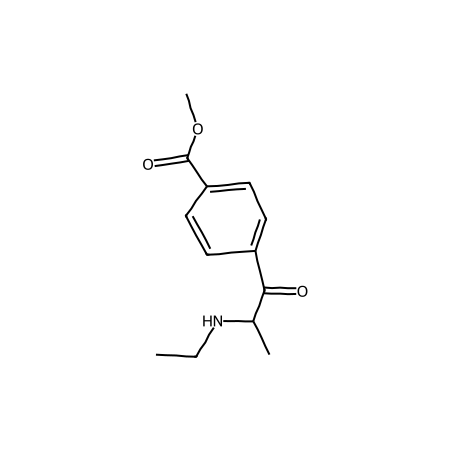 CCNC(C)C(=O)c1ccc(C(=O)OC)cc1